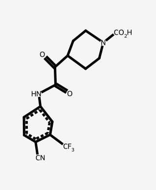 N#Cc1ccc(NC(=O)C(=O)C2CCN(C(=O)O)CC2)cc1C(F)(F)F